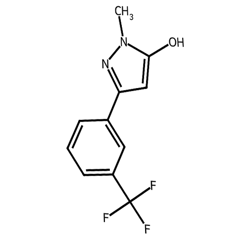 Cn1nc(-c2cccc(C(F)(F)F)c2)cc1O